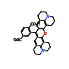 O=C([O-])c1ccc(C(=O)O)c(C2=c3cc4c5c(c3Oc3c2cc2c6c3CCCN6CCC2)CCC[N+]=5CCC4)c1